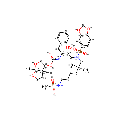 CC(C)(CCCCNS(C)(=O)=O)CN(C[C@@H](O)[C@H](Cc1ccccc1)NC(=O)O[C@H]1CO[C@H]2OCC[C@H]21)S(=O)(=O)c1ccc2c(c1)OCO2